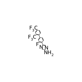 Nc1cnc(-c2ccc(-c3ccc(C(F)(F)F)cc3C(F)(F)F)cc2F)cn1